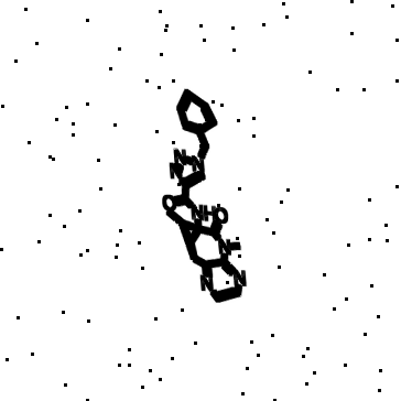 CN1C(=O)C2(NC(=O)c3cn(Cc4ccccc4)nn3)C3C(c4nccnc41)C32C